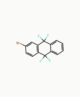 FC1(F)c2ccccc2C(F)(F)c2cc(Br)ccc21